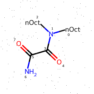 CCCCCCCCN(CCCCCCCC)C(=O)C(N)=O